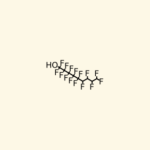 OC(F)(F)C(F)(F)C(F)(F)C(F)(F)C(F)(F)C(F)C(F)C(F)C(F)F